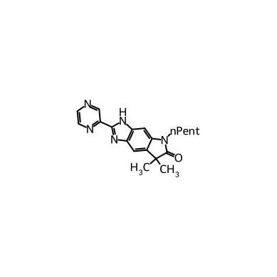 CCCCCN1C(=O)C(C)(C)c2cc3nc(-c4cnccn4)[nH]c3cc21